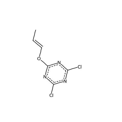 CC=COc1nc(Cl)nc(Cl)n1